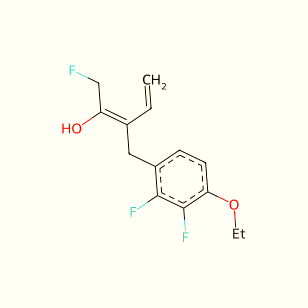 C=C/C(Cc1ccc(OCC)c(F)c1F)=C(/O)CF